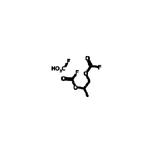 CC(COC(=O)F)OC(=O)F.O=C(O)F